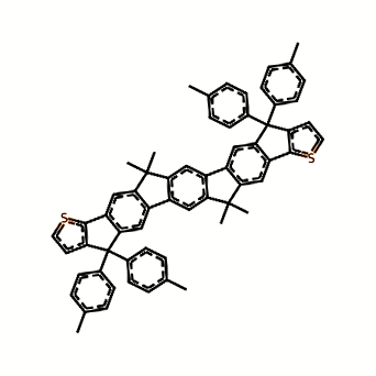 Cc1ccc(C2(c3ccc(C)cc3)c3cc4c(cc3-c3sccc32)C(C)(C)c2cc3c(cc2-4)C(C)(C)c2cc4c(cc2-3)C(c2ccc(C)cc2)(c2ccc(C)cc2)c2ccsc2-4)cc1